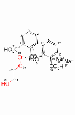 O=C(O)c1ccccc1C(=O)O.O=C([O-])c1ccccc1C(=O)O.[Na+].[Na+].[O-]OCCO